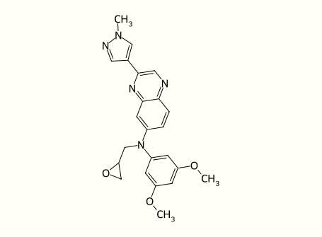 COc1cc(OC)cc(N(CC2CO2)c2ccc3ncc(-c4cnn(C)c4)nc3c2)c1